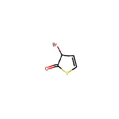 O=C1SC=CC1Br